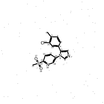 Cc1ccc(-c2cncn2-c2ccc(S(C)(=O)=O)nc2)cc1Cl